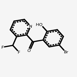 O=C(c1cc(Br)ccc1O)c1ncccc1C(F)F